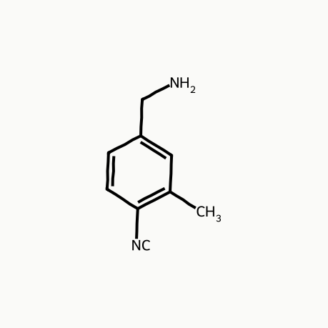 [C-]#[N+]c1ccc(CN)cc1C